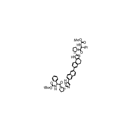 COC(=O)N[C@H](C(=O)N1CCC[C@H]1c1nc2c([nH]1)-c1ccc(-c3ccc4cc(-c5cnc([C@@H]6CCCN6C(=O)C(NC(=O)OC(C)(C)C)c6ccccc6)[nH]5)ccc4c3)cc1CC2)C(C)C